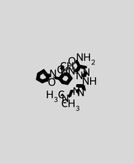 COc1c(Nc2nc(Nc3cnn(CCN(C)C)c3)ncc2C(N)=O)cccc1-c1nc2ccccc2o1